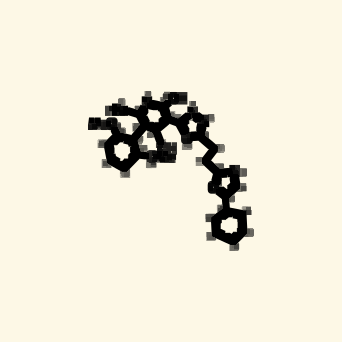 CCCCc1nc(O)c(-c2nnc(CCc3ncc(-c4ccccc4)o3)o2)c(O)c1-c1c(OC)cccc1OC